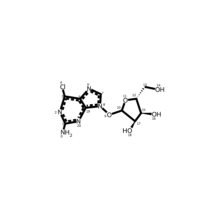 Nc1nc(Cl)c2ncn(OC3O[C@H](CO)[C@@H](O)[C@H]3O)c2n1